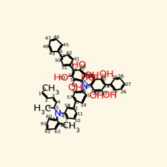 C/C=C\C=C/C(C)N(c1cccc(-c2ccc(N(c3c(O)c(O)c(-c4ccccc4)c(O)c3O)c3c(O)c(O)c(-c4ccc(-c5ccccc5)cc4)c(O)c3O)cc2)c1)c1ccccc1C